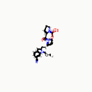 CCn1c(CC[C@H]2CCN2C(=O)[C@H]2CCCN2C(=O)O)cc2ccc(C#N)cc21